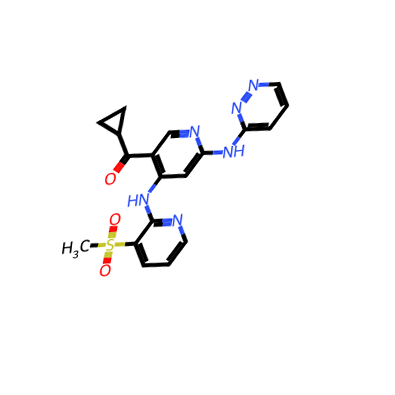 CS(=O)(=O)c1cccnc1Nc1cc(Nc2cccnn2)ncc1C(=O)C1CC1